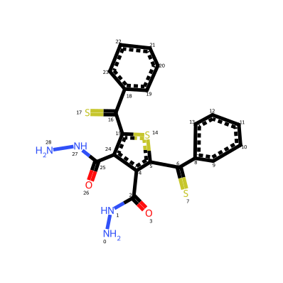 NNC(=O)c1c(C(=S)c2ccccc2)sc(C(=S)c2ccccc2)c1C(=O)NN